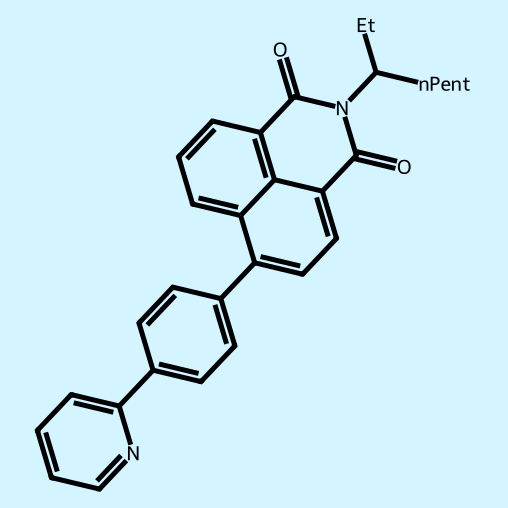 CCCCCC(CC)N1C(=O)c2cccc3c(-c4ccc(-c5ccccn5)cc4)ccc(c23)C1=O